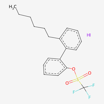 CCCCCCc1ccccc1-c1ccccc1OS(=O)(=O)C(F)(F)F.I